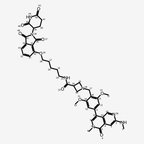 CNc1cc2c(=O)n(C)cc(-c3cc(OC)c(CN4CC(C(=O)NCCCCCOc5cccc6c5C(=O)N(C5CCC(=O)NC5=O)C6=O)C4)c(OC)c3)c2cn1